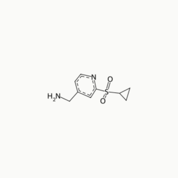 NCc1ccnc(S(=O)(=O)C2CC2)c1